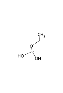 CCO[C](O)O